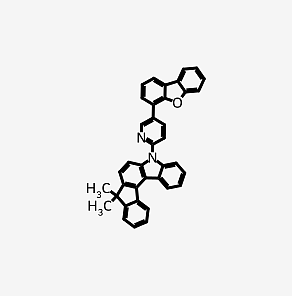 CC1(C)c2ccccc2-c2c1ccc1c2c2ccccc2n1-c1ccc(-c2cccc3c2oc2ccccc23)cn1